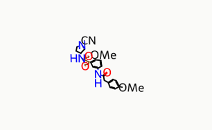 COc1ccc(CC(=O)Nc2ccc(OC)c(S(=O)(=O)N[C@@H]3CCN(C#N)C3)c2)cc1